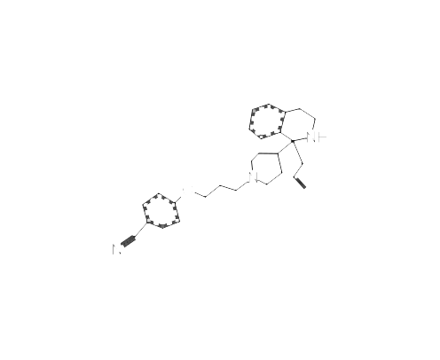 C=CCC1(C2CCN(CCCOc3ccc(C#N)cc3)CC2)NCCc2ccccc21